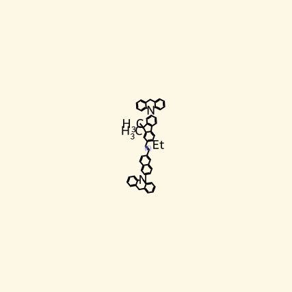 CCc1cc2c(cc1/C=C/c1ccc3cc(N4c5ccccc5Cc5ccccc54)ccc3c1)C(C)(C)c1cc(N3c4ccccc4Cc4ccccc43)ccc1-2